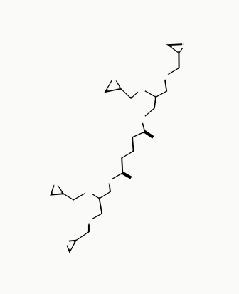 O=C(CCCC(=O)OCC(COCC1CO1)OCC1CO1)OCC(COCC1CO1)OCC1CO1